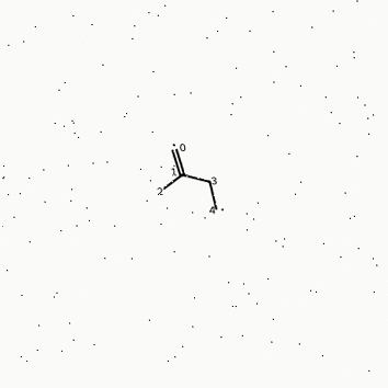 [CH]=C(C)C[CH2]